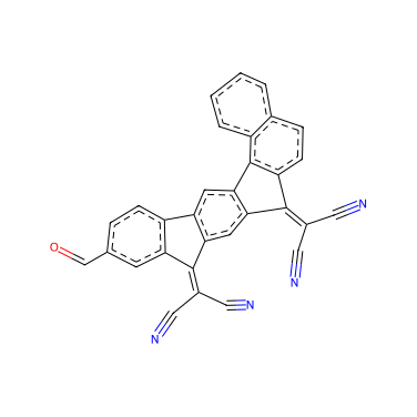 N#CC(C#N)=C1c2cc(C=O)ccc2-c2cc3c(cc21)C(=C(C#N)C#N)c1ccc2ccccc2c1-3